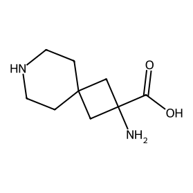 NC1(C(=O)O)CC2(CCNCC2)C1